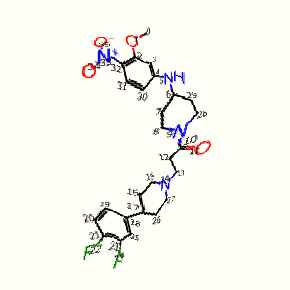 COc1cc(NC2CCN(C(=O)CCN3CCC(c4ccc(F)c(F)c4)CC3)CC2)ccc1[N+](=O)[O-]